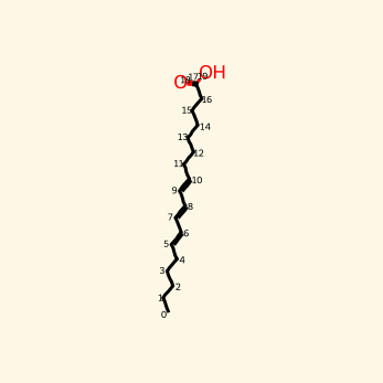 CCCCCC=CC=CC=CCCCCCCC(=O)O